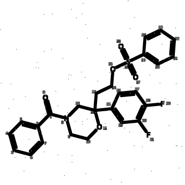 O=C(c1ccccc1)N1CCOC(CCOS(=O)(=O)c2ccccc2)(c2ccc(F)c(F)c2)C1